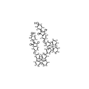 O=C1c2ccc(Oc3ccc(C4(c5ccc(-c6ccc(C7(c8ccc(Oc9ccc%10c(c9)C(=O)N(c9ccc(O)cc9)C%10=O)cc8)c8ccccc8-c8ccccc87)cc6)cc5)c5ccccc5-c5ccccc54)cc3)cc2C(=O)N1c1ccc(O)cc1